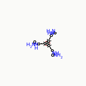 Cc1c(C)c(B(c2c(C)c(C)c(C#Cc3ccc(Nc4ccccc4N)cc3)c(C)c2C)c2c(C)c(C)c(C#Cc3ccc(Nc4ccccc4N)cc3)c(C)c2C)c(C)c(C)c1C#Cc1ccc(Nc2ccccc2N)cc1